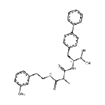 COc1cccc(CCNC(=O)C(C)C(=O)N[C@@H](Cc2ccc(-c3ccccc3)cc2)B(O)O)c1